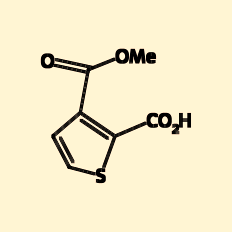 COC(=O)c1ccsc1C(=O)O